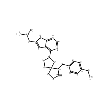 C[S+]([O-])Cc1cc2c(C3CCC4(CCNC4Cc4ccc(CC#N)cc4)C3)ncnc2s1